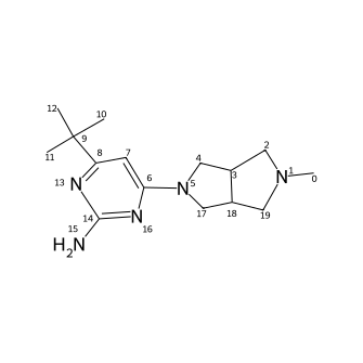 CN1CC2CN(c3cc(C(C)(C)C)nc(N)n3)CC2C1